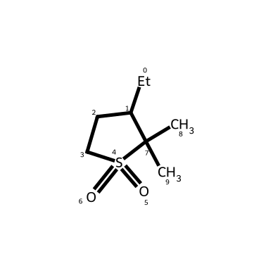 CCC1CCS(=O)(=O)C1(C)C